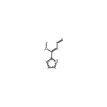 C=C/C=C(\OC)c1ccco1